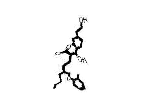 CCCCC(CCc1c(O)c2ccc(CCO)cc2oc1=O)COc1ccccc1C